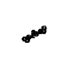 O=C(OCCOc1cccc2ccccc12)OCCOc1cccc2ccccc12